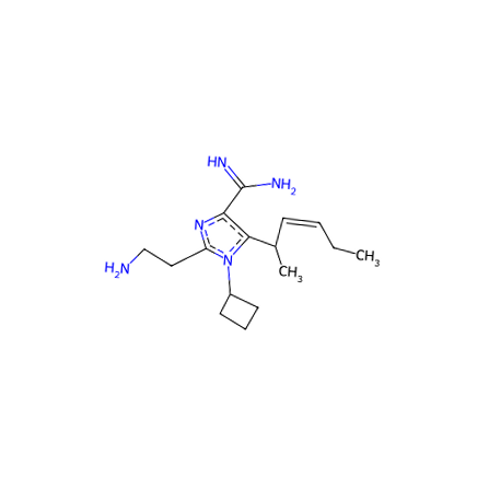 CC/C=C\C(C)c1c(C(=N)N)nc(CCN)n1C1CCC1